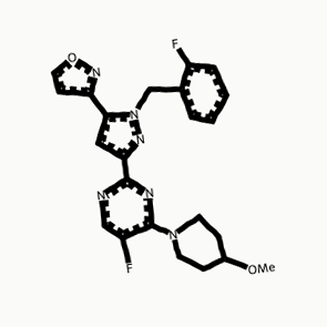 COC1CCN(c2nc(-c3cc(-c4ccon4)n(Cc4ccccc4F)n3)ncc2F)CC1